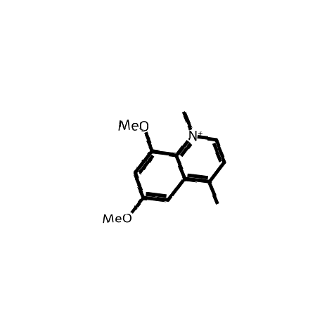 COc1cc(OC)c2c(c1)c(C)cc[n+]2C